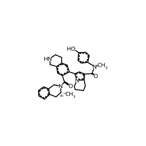 C[C@@H]1Cc2ccccc2CN1C(=O)c1cc2c(cc1-c1cc(C(=O)N(C)c3ccc(O)cc3)c3n1CCCC3)CCNC2